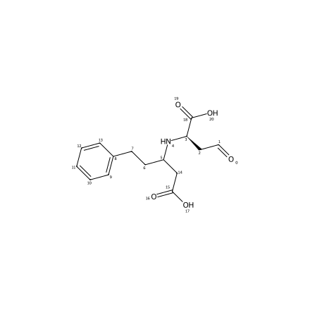 O=CC[C@@H](NC(CCc1ccccc1)CC(=O)O)C(=O)O